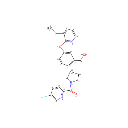 CCc1cccnc1Oc1ccc([C@@H]2CCN(C(=O)c3ccc(F)cn3)C2)c(CO)c1